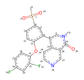 Cn1cc(-c2cc(S(C)(=O)=O)ccc2Oc2ccc(F)cc2F)c2ccncc2c1=O